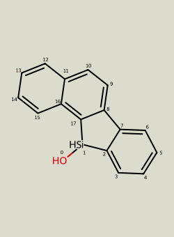 O[SiH]1c2ccccc2-c2ccc3ccccc3c21